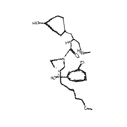 CNCC(CC1CCC(O)CC1)NC(=O)N1CCC[C@@H]([C@@](O)(CCCCOC)c2cccc(Cl)c2)C1